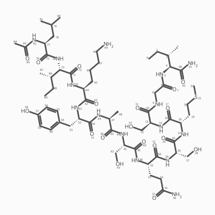 CC[C@H](C)[C@H](NC(=O)CNC(=O)[C@H](CO)NC(=O)[C@H](CCSC)NC(=O)[C@H](CO)NC(=O)[C@H](CCC(N)=O)NC(=O)[C@H](CO)NC(=O)[C@H](C)NC(=O)[C@H](Cc1ccc(O)cc1)NC(=O)[C@H](CCCCN)NC(=O)[C@@H](NC(=O)[C@H](CC(C)C)NC(C)=O)[C@@H](C)CC)C(N)=O